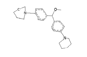 COC(c1ccc(N2CCCCC2)cc1)c1ccc(N2CCCCC2)cc1